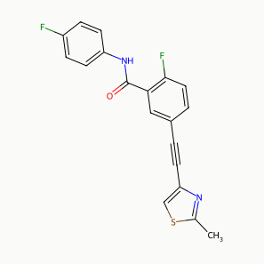 Cc1nc(C#Cc2ccc(F)c(C(=O)Nc3ccc(F)cc3)c2)cs1